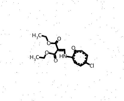 CCOC(=O)C(=CNc1ccc(Cl)ccc1=O)C(=O)OCC